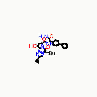 CC(C)(C)[C@@H](C(=O)N1C[C@H](O)C[C@H]1C(=O)N[C@H](C(N)=O)c1ccc(-c2ccccc2)cc1)n1cc(C2CC2)nn1